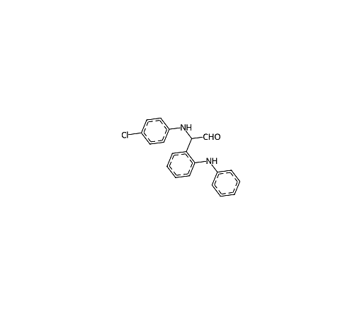 O=CC(Nc1ccc(Cl)cc1)c1ccccc1Nc1ccccc1